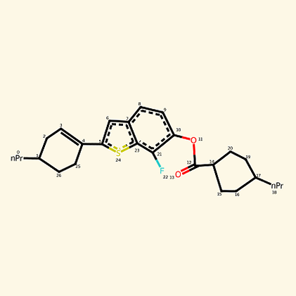 CCCC1CC=C(c2cc3ccc(OC(=O)C4CCC(CCC)CC4)c(F)c3s2)CC1